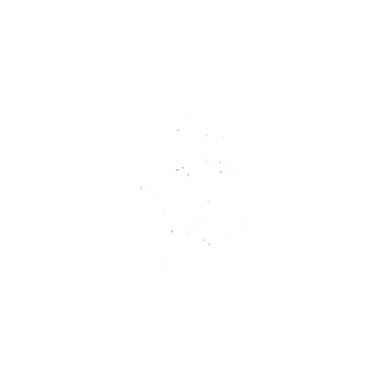 CCN(C#N)C(=O)C(CSC)NC(=O)C1(C)CC1